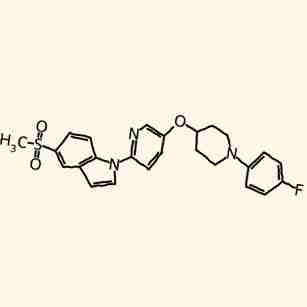 CS(=O)(=O)c1ccc2c(ccn2-c2ccc(OC3CCN(c4ccc(F)cc4)CC3)cn2)c1